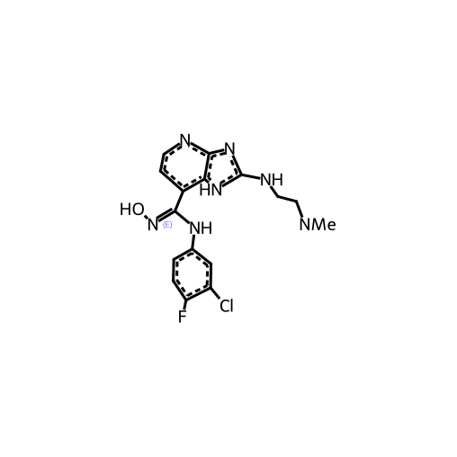 CNCCNc1nc2nccc(/C(=N\O)Nc3ccc(F)c(Cl)c3)c2[nH]1